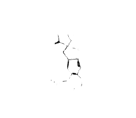 CC[C@](N)(Cc1ccc(OC)c(OC)c1)C(=O)O